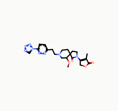 COC1CN(CCc2ccc(-n3cnnn3)nn2)CCC12CCN(C1=C(C)C(=O)OC1)C2=O